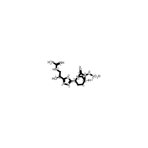 N=C(N)NC[C@H](O)c1nnc([C@@H]2CC[C@H]3CN2C(=O)N3OS(=O)(=O)O)o1